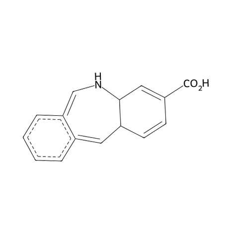 O=C(O)C1=CC2NC=c3ccccc3=CC2C=C1